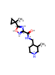 CC1CNCCC1CNC(=O)c1noc(C2(C)CC2)n1